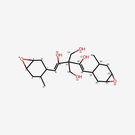 CC1CC2OC2CC1C=C(O)C(CO)(CO)C(O)=CC1CC2OC2CC1C